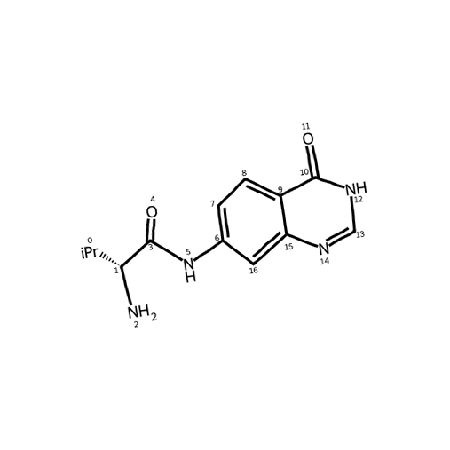 CC(C)[C@@H](N)C(=O)Nc1ccc2c(=O)[nH]cnc2c1